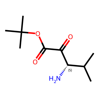 CC(C)[C@H](N)C(=O)C(=O)OC(C)(C)C